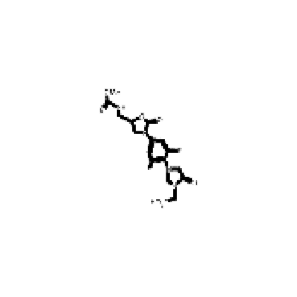 COC(=S)NCC1CN(c2cc(F)c(N3CC(=O)N(CC(=O)O)C3)c(F)c2)C(=O)O1